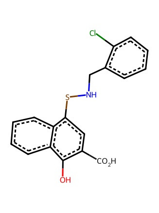 O=C(O)c1cc(SNCc2ccccc2Cl)c2ccccc2c1O